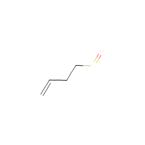 C=CCC[S+]=O